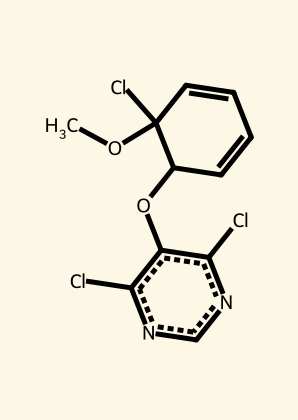 COC1(Cl)C=CC=CC1Oc1c(Cl)ncnc1Cl